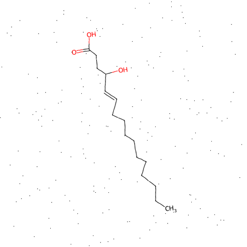 CCCCCCCCCCC=CC(O)CCC(=O)O